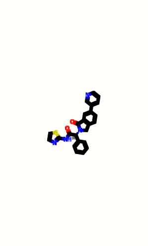 O=C(Nc1nccs1)[C@@H](c1ccccc1)N1Cc2ccc(-c3cccnc3)cc2C1=O